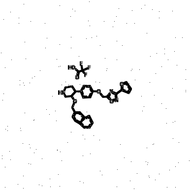 O=C(O)C(F)(F)F.c1coc(-c2noc(COc3ccc(C4CCNCC4OCc4ccc5ccccc5c4)cc3)n2)c1